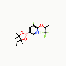 CCC1(C)OB(c2cnc(OC(C)C(F)(F)F)c(F)c2)OC1(C)C